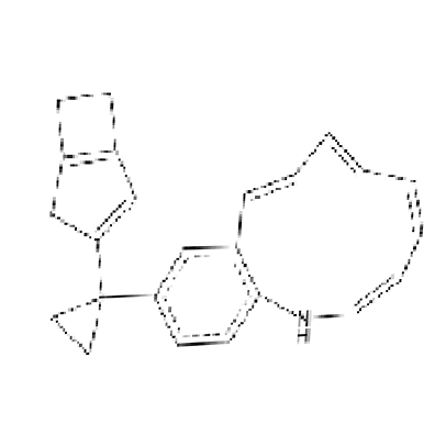 C1=C(C2(c3ccc4c(c3)/C=C/C=C/C=C\C=C/N4)CC2)CC2=C1CC2